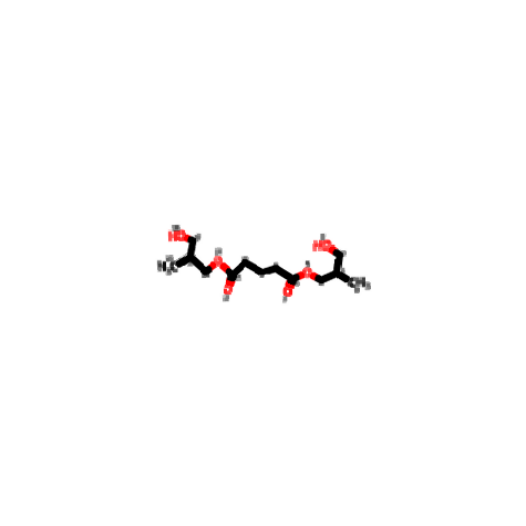 CC(CO)COC(=O)CCCC(=O)OCC(C)CO